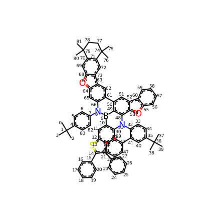 CC(C)(C)c1ccc(N2B3c4cc5sc(-c6ccccc6)c(-c6ccccc6)c5cc4N(c4ccc(C(C)(C)C)cc4-c4ccccc4)c4c3c(cc3c4oc4ccccc43)-c3cc4c(cc32)oc2cc3c(cc24)C(C)(C)CCC3(C)C)cc1